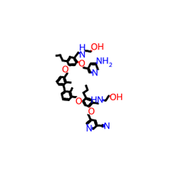 CCCc1cc(CNCCO)c(OCc2cncc(N)c2)cc1OCc1cccc(-c2cccc(COc3cc(OCc4cncc(C#N)c4)c(CNCCO)cc3CCC)c2C)c1C